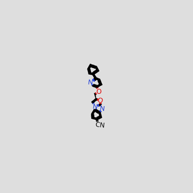 N#Cc1ccc2c(c1)nc1n2C[C@@H](COc2ccc(-c3ccccc3)nc2)O1